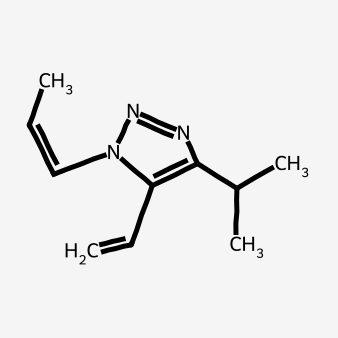 C=Cc1c(C(C)C)nnn1/C=C\C